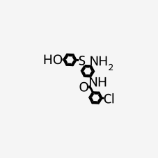 Nc1cc(NC(=O)c2cccc(Cl)c2)ccc1Sc1ccc(O)cc1